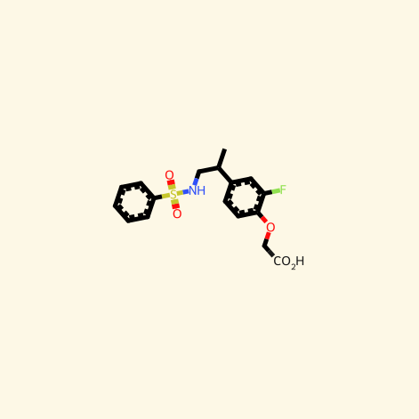 CC(CNS(=O)(=O)c1ccccc1)c1ccc(OCC(=O)O)c(F)c1